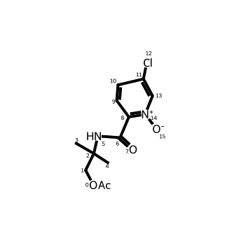 CC(=O)OCC(C)(C)NC(=O)c1ccc(Cl)c[n+]1[O-]